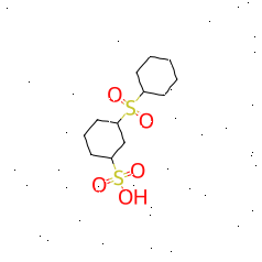 O=S(=O)(O)C1CCCC(S(=O)(=O)C2CCCCC2)C1